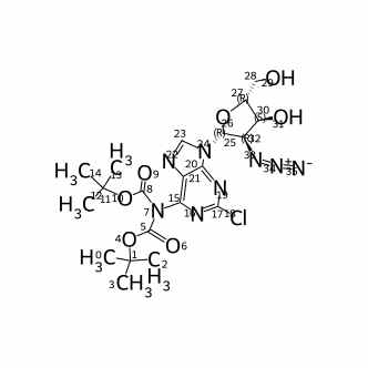 CC(C)(C)OC(=O)N(C(=O)OC(C)(C)C)c1nc(Cl)nc2c1ncn2[C@@H]1O[C@H](CO)[C@@H](O)[C@H]1N=[N+]=[N-]